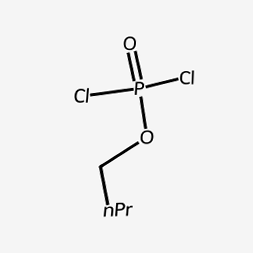 CCCCOP(=O)(Cl)Cl